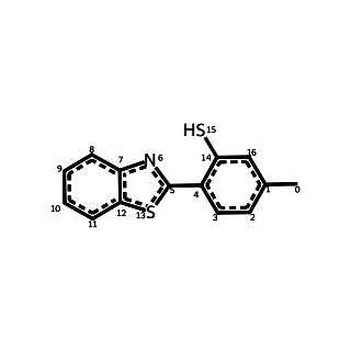 Cc1ccc(-c2nc3ccccc3s2)c(S)c1